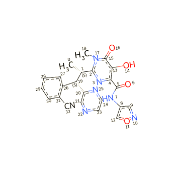 C[C@H](c1nc(C(=O)Nc2cnoc2)c(O)c(=O)n1C)[C@H](c1cnccn1)c1ccccc1C#N